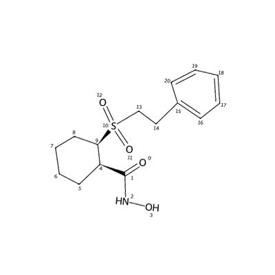 O=C(NO)[C@H]1CCCC[C@H]1S(=O)(=O)CCc1ccccc1